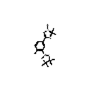 CC(=O)N1N=C(c2ccc(C)c(B3OC(C)(C)C(C)(C)O3)c2)OC1(C)C